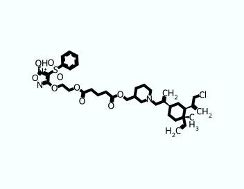 C=C[C@]1(C)CC[C@@H](C(=C)CN2CCCC(COC(=O)CCCC(=O)OCCOc3no[n+](O)c3S(=O)(=O)c3ccccc3)C2)C[C@H]1C(=C)CCl